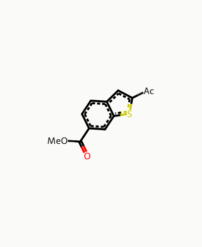 COC(=O)c1ccc2cc(C(C)=O)sc2c1